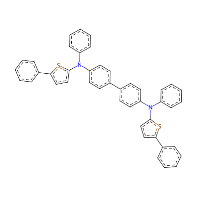 c1ccc(-c2ccc(N(c3ccccc3)c3ccc(-c4ccc(N(c5ccccc5)c5ccc(-c6ccccc6)s5)cc4)cc3)s2)cc1